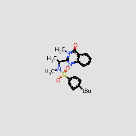 CC(c1nc2ccccc2c(=O)n1C)N(C)S(=O)(=O)c1ccc(C(C)(C)C)cc1